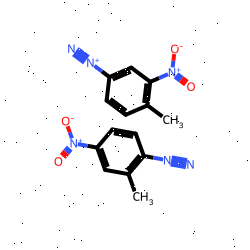 Cc1cc([N+](=O)[O-])ccc1[N+]#N.Cc1ccc([N+]#N)cc1[N+](=O)[O-]